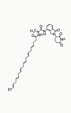 CCC=CCC=CCC=CCC=CCC=CCC=CCCC(=O)N[C@@H](C)C(=O)Nc1cccc2c1CN(C1CCC(=O)NC1=O)C2=O